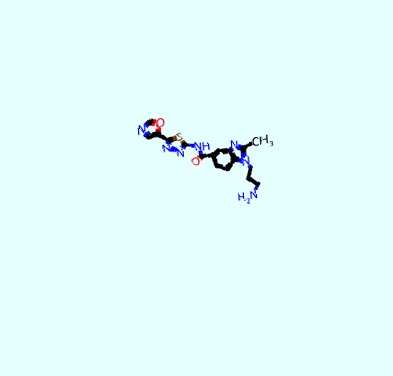 Cc1nc2cc(C(=O)Nc3nnc(-c4cnco4)s3)ccc2n1CCCN